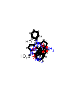 CCC1(C(N)=O)Cc2ccc(cc2)[C@]1(C(=O)NC(=O)O)N1CCCC1N(c1ccccc1)C1CCCN1[C@@]1(C(=O)NC(=O)O)c2ccc(cc2)CC1(CC)C(N)=O